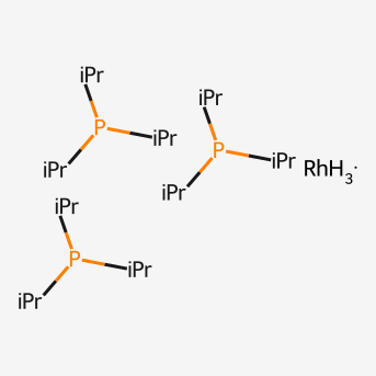 CC(C)P(C(C)C)C(C)C.CC(C)P(C(C)C)C(C)C.CC(C)P(C(C)C)C(C)C.[RhH3]